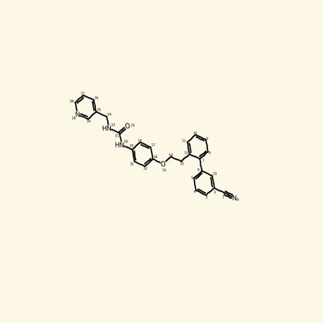 N#Cc1cccc(-c2ccccc2CCOc2ccc(NC(=O)NCc3cccnc3)cc2)c1